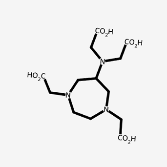 O=C(O)CN1CCN(CC(=O)O)CC(N(CC(=O)O)CC(=O)O)C1